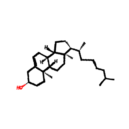 CC(C)CCCC[C@@H](C)[C@H]1CC[C@H]2[C@@H]3CC=C4C[C@@H](O)CC[C@]4(C)[C@H]3CC[C@]12C